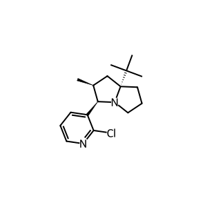 C[C@H]1C[C@@]2(C(C)(C)C)CCCN2[C@H]1c1cccnc1Cl